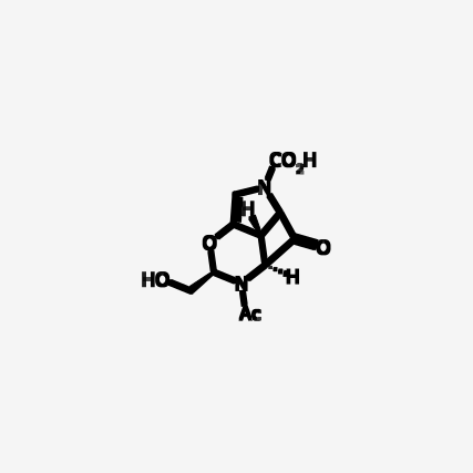 CC(=O)N1[C@@H]2C(=O)C3[C@H]2C(=CN3C(=O)O)O[C@@H]1CO